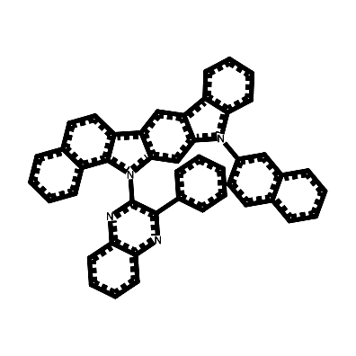 c1ccc(-c2nc3ccccc3nc2-n2c3cc4c(cc3c3ccc5ccccc5c32)c2ccccc2n4-c2ccc3ccccc3c2)cc1